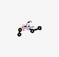 CCCN(C(=O)N[C@@H](CSCC(C)C)C(=O)NS(=O)(=O)c1cccc(-c2ccccc2)c1)C(=O)c1cccc(C#Cc2ccccc2)c1